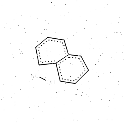 N#CO.c1ccc2ccccc2c1